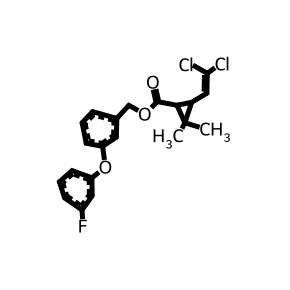 CC1(C)C(C=C(Cl)Cl)C1C(=O)OCc1cccc(Oc2cccc(F)c2)c1